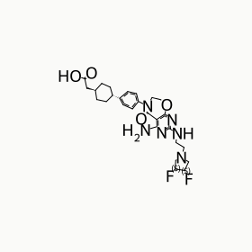 Nc1nc(NCCN2C[C@H](F)[C@@H](F)C2)nc2c1C(=O)N(c1ccc([C@H]3CC[C@H](CC(=O)O)CC3)cc1)CCO2